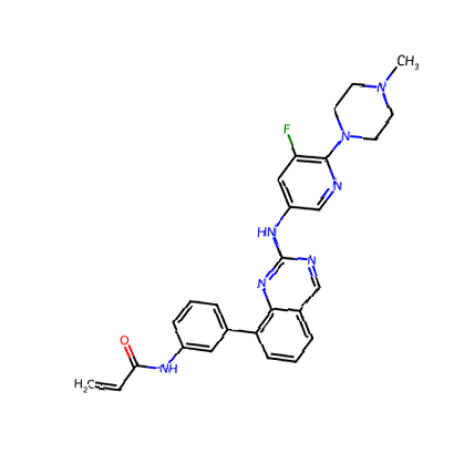 C=CC(=O)Nc1cccc(-c2cccc3cnc(Nc4cnc(N5CCN(C)CC5)c(F)c4)nc23)c1